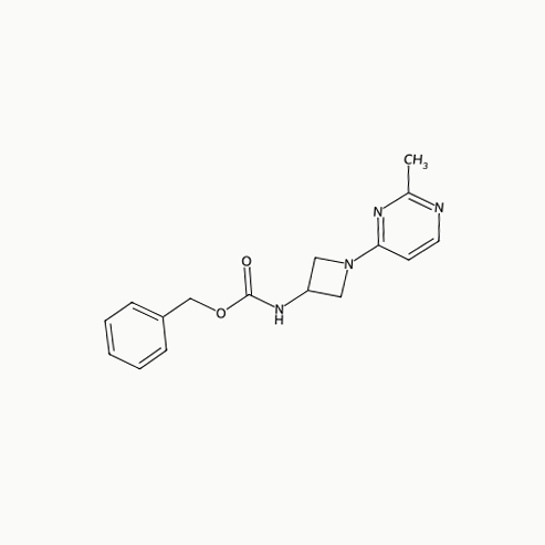 Cc1nccc(N2CC(NC(=O)OCc3ccccc3)C2)n1